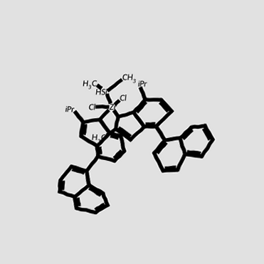 CC1=Cc2c(-c3cccc4ccccc34)ccc(C(C)C)c2[CH]1[Zr]([Cl])([Cl])([CH]1C(C(C)C)=Cc2c(-c3cccc4ccccc34)cccc21)[SiH](C)C